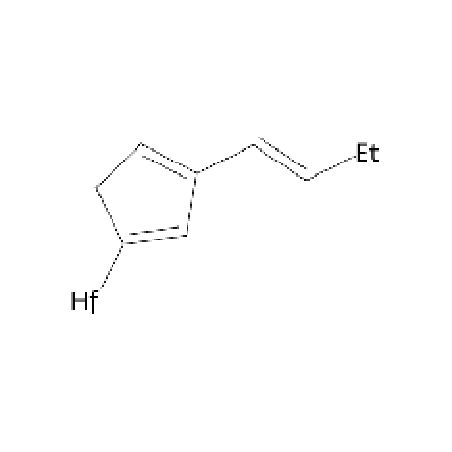 CCC=CC1=CC[C]([Hf])=C1